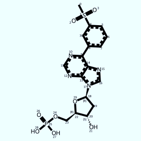 CS(=O)(=O)c1cccc(-c2ncnc3c2ncn3[C@H]2C[C@H](O)[C@@H](COP(=O)(O)O)O2)c1